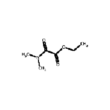 CCOC(=O)C(=O)N(C)C